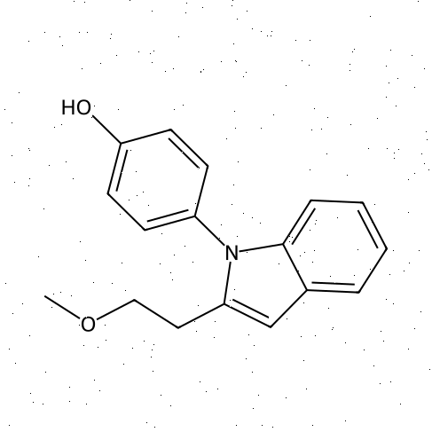 COCCc1cc2ccccc2n1-c1ccc(O)cc1